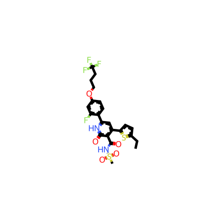 CCc1ccc(-c2cc(-c3ccc(OCCCC(F)(F)F)cc3F)[nH]c(=O)c2C(=O)NS(C)(=O)=O)s1